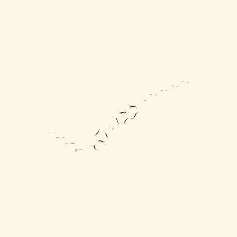 CCCCCCCCCCOc1ccc2cc(OCc3ccc(C(=O)OC[C@H](C)CCCCCCC)cc3)ccc2c1